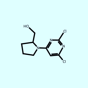 OCC1CCCN1c1cc(Cl)nc(Cl)n1